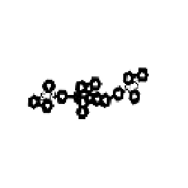 c1ccc(N(c2ccc(-c3ccc4cc5c(cc4c3)C3(c4ccccc4-c4ccccc43)c3c-5c4ccccc4c4cc(-c5ccc(N(c6ccccc6)c6cccc7c6sc6ccccc67)cc5)ccc34)cc2)c2cccc3c2sc2ccccc23)cc1